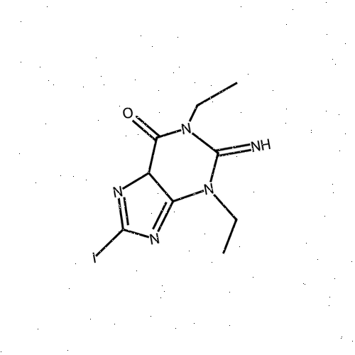 CCN1C(=N)N(CC)C2=NC(I)=NC2C1=O